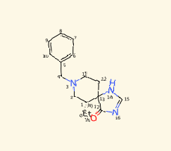 CC[C@@H]1CN(Cc2ccccc2)CCC12NC=NC2=O